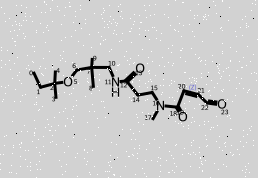 CCC(C)(C)OCC(C)(C)CNC(=O)CCN(C)C(=O)/C=C\C=O